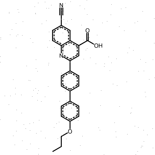 CCCOc1ccc(-c2ccc(-c3cc(C(=O)O)c4cc(C#N)ccc4n3)cc2)cc1